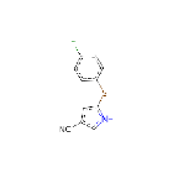 N#Cc1c[nH]c(Sc2ccc(F)cc2)c1